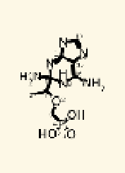 CC(OCP(=O)(O)O)C1(N)N=C2[N]C=NC2=C(N)N1